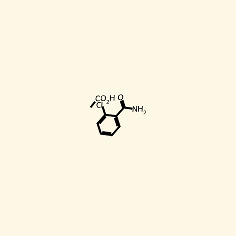 CC(=O)O.NC(=O)c1ccccc1Cl